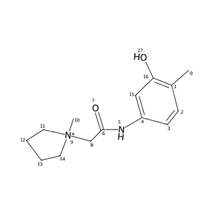 Cc1ccc(NC(=O)C[N+]2(C)CCCC2)cc1O